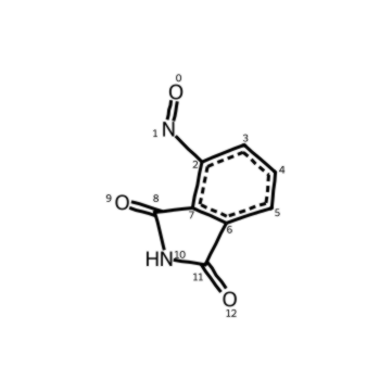 O=Nc1cccc2c1C(=O)NC2=O